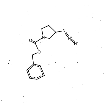 [N-]=[N+]=NC1CCN(C(=O)OCc2ccccc2)C1